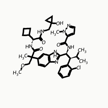 COCC(C)(C(=O)N[C@@H](C(=O)NCC1(O)CC1)C1CCC1)c1ccc2nc([C@@H](NC(=O)c3ccnn3C)[C@H](c3ccccc3Cl)C(C)C)[nH]c2c1